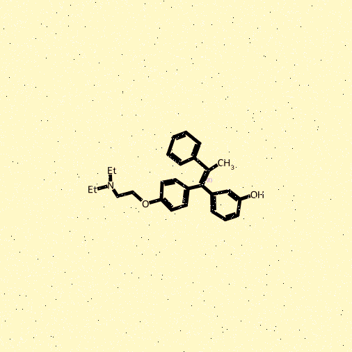 CCN(CC)CCOc1ccc(/C(=C(/C)c2ccccc2)c2cccc(O)c2)cc1